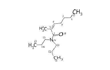 CCCCC=C(C)C(=O)N(CCC)CCC